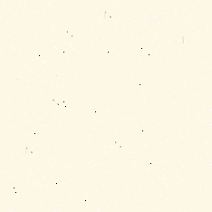 O=C(c1ncccc1-c1ccccn1)N1CC2CC(Nc3ccc(C(F)(F)F)cn3)C1C2